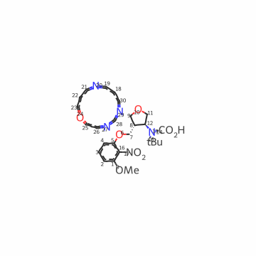 COc1cccc(OC[C@@H]2COC[C@H]2N(C(=O)O)C(C)(C)C)c1[N+](=O)[O-].c1cncccoccncnc1